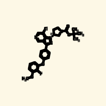 COc1cccc(Oc2ccc(-c3nn([C@@H]4CCN(C(=O)OC(C)(C)C)C4)c4c(Cl)cncc34)cc2)c1F